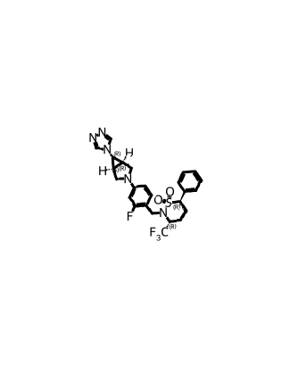 O=S1(=O)[C@@H](c2ccccc2)CC[C@H](C(F)(F)F)N1Cc1ccc(N2C[C@@H]3[C@H](C2)[C@@H]3n2cnnc2)cc1F